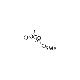 C=CCc1cc2c(cc1OCc1ccccc1)C(C)(C)C(CCc1ccc(SC)cc1)O2